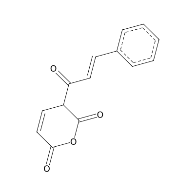 O=C1C=CC(C(=O)/C=C/c2ccccc2)C(=O)O1